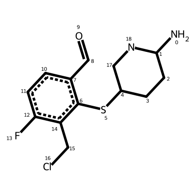 NC1CCC(Sc2c(C=O)ccc(F)c2CCl)C[N]1